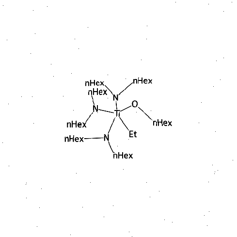 CCCCCC[O][Ti]([CH2]C)([N](CCCCCC)CCCCCC)([N](CCCCCC)CCCCCC)[N](CCCCCC)CCCCCC